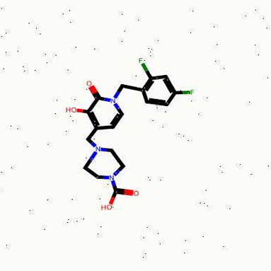 O=C(O)N1CCN(Cc2ccn(Cc3ccc(F)cc3F)c(=O)c2O)CC1